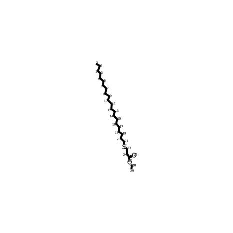 CCCCCCCCCCCCCCCCCCCCCCSCCC(=O)OCC